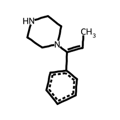 CC=C(c1ccccc1)N1CCNCC1